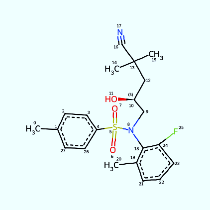 Cc1ccc(S(=O)(=O)N(C[C@@H](O)CC(C)(C)C#N)c2c(C)cccc2F)cc1